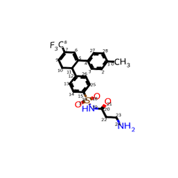 Cc1ccc(C2=CC(C(F)(F)F)=CCC2c2ccc(S(=O)(=O)NC(=O)CCN)cc2)cc1